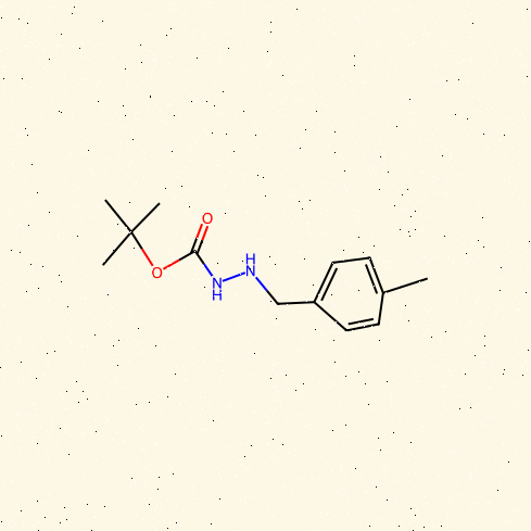 Cc1ccc(CNNC(=O)OC(C)(C)C)cc1